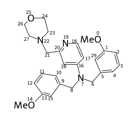 COc1cccc(CN(Cc2cccc(OC)c2)c2ccnc(CN3CCOCC3)c2)c1